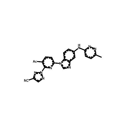 CC(=O)c1ccc(-n2cnc3cc(Nc4ccc(C)nn4)ccc32)nc1-n1ncc(C#N)n1